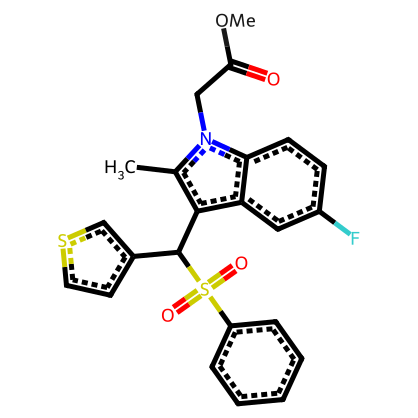 COC(=O)Cn1c(C)c(C(c2ccsc2)S(=O)(=O)c2ccccc2)c2cc(F)ccc21